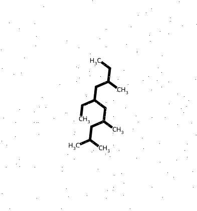 CCC(C)CC(CC)CC(C)CC(C)C